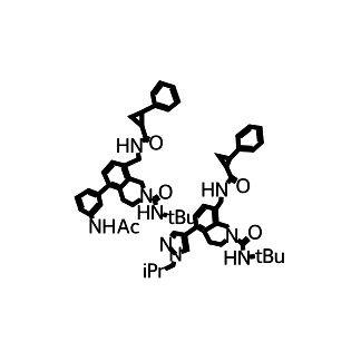 CC(=O)Nc1cccc(-c2ccc(CNC(=O)C3CC3c3ccccc3)c3c2CCN(C(=O)NC(C)(C)C)C3)c1.CC(C)Cn1cc(-c2ccc(CNC(=O)C3CC3c3ccccc3)c3c2CCN(C(=O)NC(C)(C)C)C3)cn1